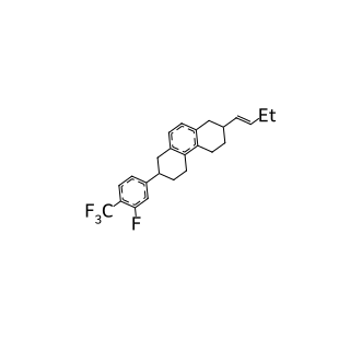 CCC=CC1CCc2c(ccc3c2CCC(c2ccc(C(F)(F)F)c(F)c2)C3)C1